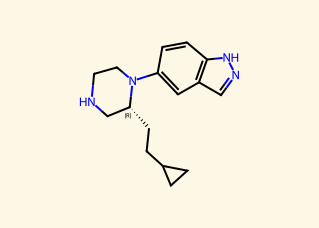 c1cc2[nH]ncc2cc1N1CCNC[C@H]1CCC1CC1